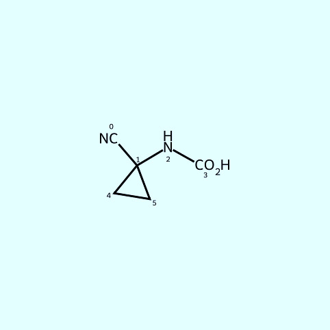 N#CC1(NC(=O)O)CC1